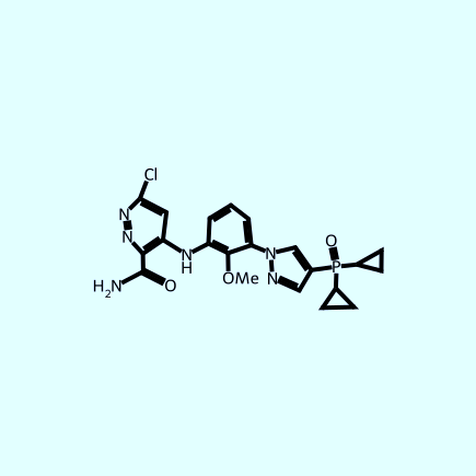 COc1c(Nc2cc(Cl)nnc2C(N)=O)cccc1-n1cc(P(=O)(C2CC2)C2CC2)cn1